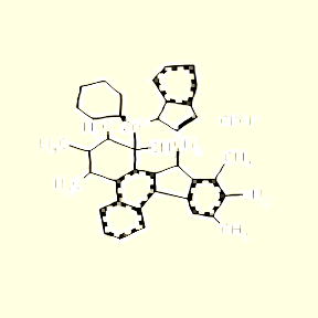 Cc1cc2c(c(C)c1C)C(C)c1c3c(c4ccccc4c1-2)C(C)C(C)C(C)[C]3(C)[Zr+2](=[C]1CCCCC1)[CH]1C=Cc2ccccc21.[Cl-].[Cl-]